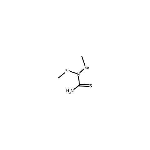 C[Se]N([Se]C)C(N)=S